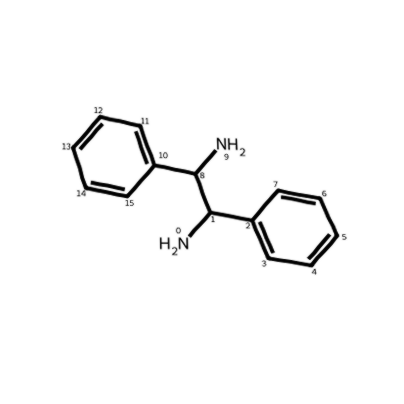 NC(c1ccccc1)C(N)c1ccccc1